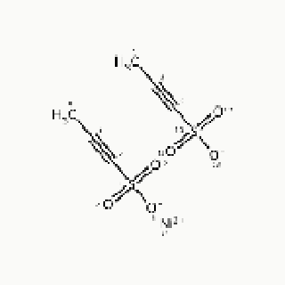 CC#CS(=O)(=O)[O-].CC#CS(=O)(=O)[O-].[Ni+2]